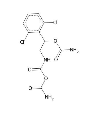 NC(=O)OC(=O)NCC(OC(N)=O)c1c(Cl)cccc1Cl